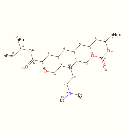 CCCCCCC(CCCCCCCCC(=O)OC(CCCC)CCCCC)OC(=O)OCCN(CCO)CCN(CC)CC